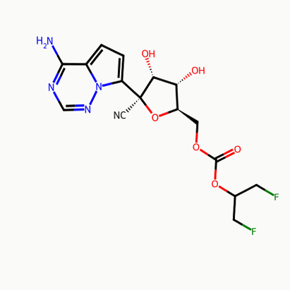 N#C[C@@]1(c2ccc3c(N)ncnn23)O[C@H](COC(=O)OC(CF)CF)[C@@H](O)[C@H]1O